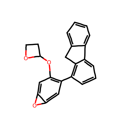 c1ccc2c(c1)Cc1c-2cccc1-c1cc2c(cc1OC1CCO1)O2